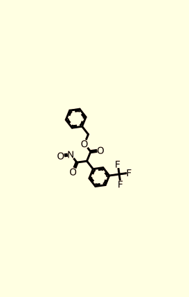 O=NC(=O)C(C(=O)OCc1ccccc1)c1cccc(C(F)(F)F)c1